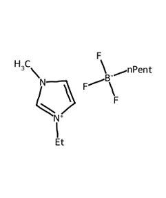 CCCCC[B-](F)(F)F.CC[n+]1ccn(C)c1